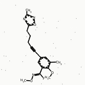 CON=C(F)c1cc(C#CCCCc2nc(C)no2)cc(C)c1OC